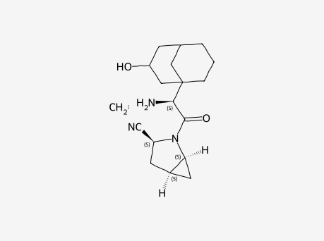 N#C[C@@H]1C[C@@H]2C[C@@H]2N1C(=O)[C@@H](N)C12CCCC(CC(O)C1)C2.[CH2]